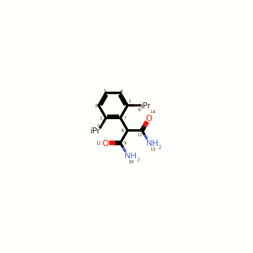 CC(C)c1cccc(C(C)C)c1C(C(N)=O)C(N)=O